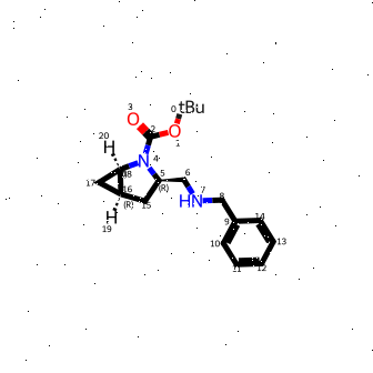 CC(C)(C)OC(=O)N1[C@@H](CNCc2ccccc2)C[C@H]2C[C@H]21